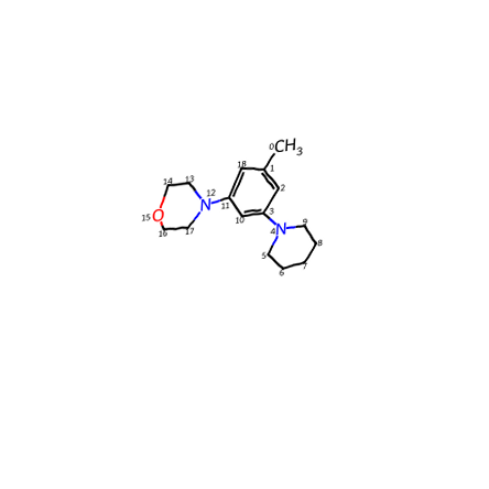 Cc1cc(N2CCCCC2)cc(N2CCOCC2)c1